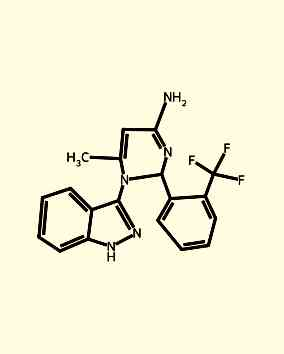 CC1=CC(N)=NC(c2ccccc2C(F)(F)F)N1c1n[nH]c2ccccc12